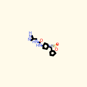 O=C(NCc1cn[nH]c1)Nc1ccc(C(N[SH](=O)=O)c2ccccc2)cc1